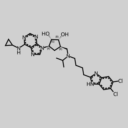 CC(C)N(CCCCc1nc2cc(Cl)c(Cl)cc2[nH]1)C[C@H]1C[C@@H](n2cnc3c(NC4CC4)ncnc32)[C@H](O)[C@@H]1O